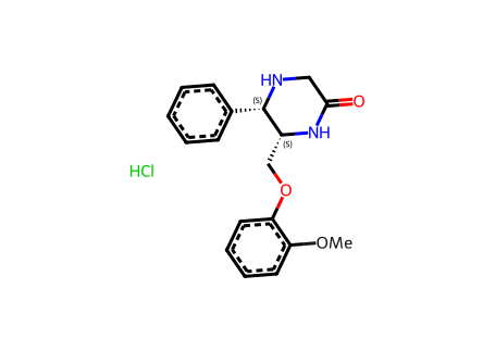 COc1ccccc1OC[C@H]1NC(=O)CN[C@H]1c1ccccc1.Cl